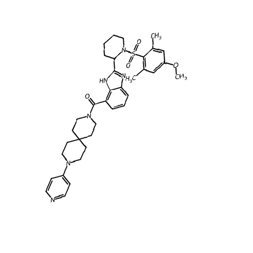 COc1cc(C)c(S(=O)(=O)N2CCCCC2c2nc3cccc(C(=O)N4CCC5(CC4)CCN(c4ccncc4)CC5)c3[nH]2)c(C)c1